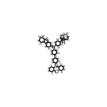 c1ccc2c(c1)Oc1ccccc1N2c1ccc(-c2ccc(N(c3ccc([C@@H]4CC5CC6CC(C5)CC4C6)cc3)c3ccc4c(c3)sc3ccccc34)cc2)cc1